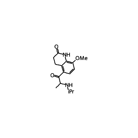 COc1ccc(C(=O)C(C)NC(C)C)c2c1NC(=O)CC2